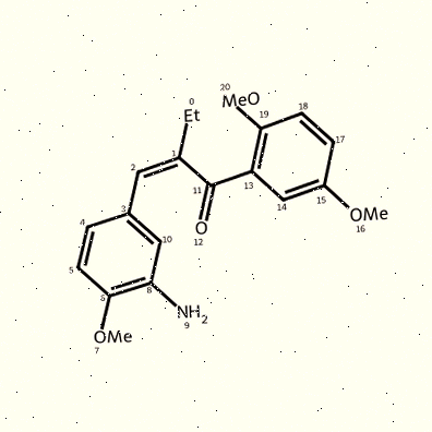 CCC(=Cc1ccc(OC)c(N)c1)C(=O)c1cc(OC)ccc1OC